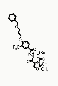 CC(C)(C)OC(=O)N1C(C(=O)NNC(=O)c2ccc(OCCCOCc3ccccc3)c(C(F)(F)F)c2)=COC1(C)C